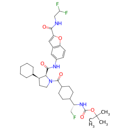 CC(C)(C)OC(=O)N[C@H](CF)C1CCC(C(=O)N2CC[C@@H](C3CCCCC3)[C@H]2C(=O)Nc2ccc3oc(C(=O)NCC(F)F)cc3c2)CC1